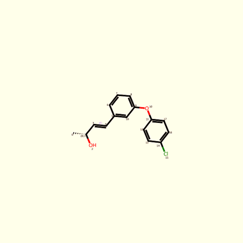 C[C@@H](O)/C=C/c1cccc(Oc2ccc(Cl)cc2)c1